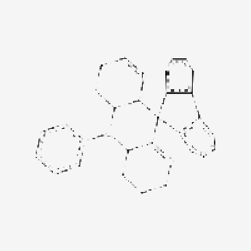 C1=NC2C(CC1)B(c1ccccc1)C1CCCN=C1C21c2ccccc2-c2ccccc21